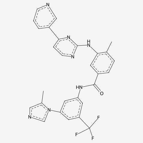 Cc1ccc(C(=O)Nc2cc(-n3cncc3C)cc(C(F)(F)F)c2)cc1Nc1nccc(-c2cccnc2)n1